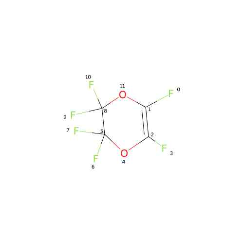 FC1=C(F)OC(F)(F)C(F)(F)O1